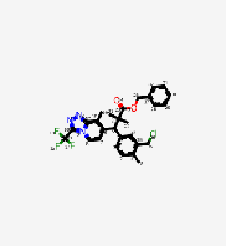 Cc1ccc(C(c2ccn3c(C(F)(F)F)nnc3c2C)C(C)(C)C(=O)OCc2ccccc2)cc1CCl